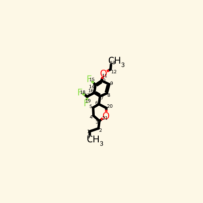 CCCC1CCC(c2ccc(OCC)c(F)c2C(F)F)CO1